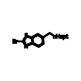 CCCCCCCCc1ccc2nc(Br)sc2c1